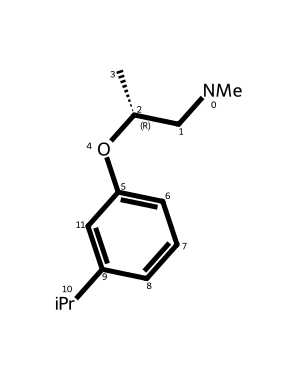 CNC[C@@H](C)Oc1cccc(C(C)C)c1